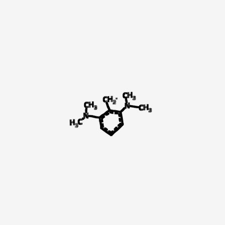 [CH2]c1c(N(C)C)cccc1N(C)C